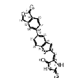 O=C1NC(=S)NC1=Cc1cc2cc(-c3ccc4c(c3)COC4=O)ccc2s1